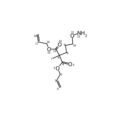 C=CCOC(=O)C(C)(CCCON)C(=O)OCC=C